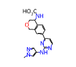 Cn1cc(Nc2nccc(-c3ccc4c(c3)COCC4NC(=O)O)n2)cn1